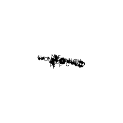 C[Si](C)(C)CCOCn1cc(C(F)(F)F)c2c(Oc3c(F)cc(NC(=O)NCC(O)CN4CCOCC4)cc3F)ccnc21